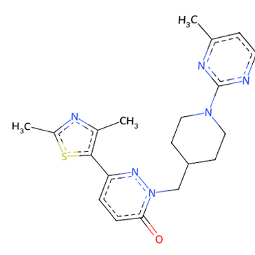 Cc1ccnc(N2CCC(Cn3nc(-c4sc(C)nc4C)ccc3=O)CC2)n1